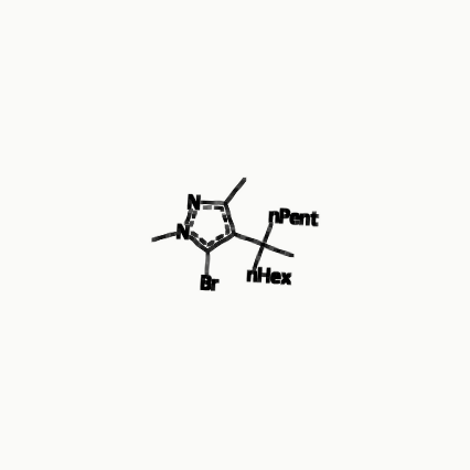 CCCCCCC(C)(CCCCC)c1c(C)nn(C)c1Br